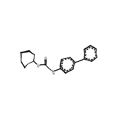 O=C(Nc1ccc(-c2ccccc2)cc1)OC1CCCCC1